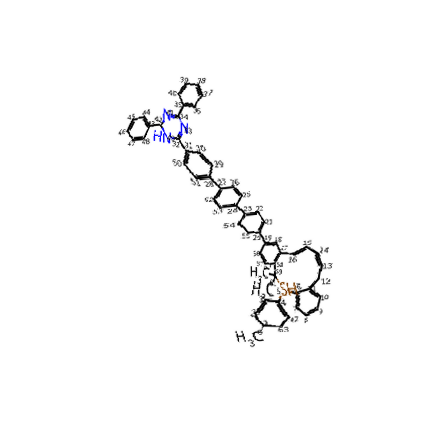 C[C@@H]1C=CC([SH]2c3ccccc3C/C=C\C=C\c3cc(C4=CC=C(c5ccc(-c6ccc(C7=NC(c8ccccc8)=NC(c8ccccc8)N7)cc6)cc5)CC4)ccc3C2(C)C)=CC1